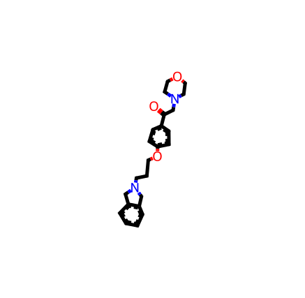 O=C(CN1CCOCC1)c1ccc(OCCCN2Cc3ccccc3C2)cc1